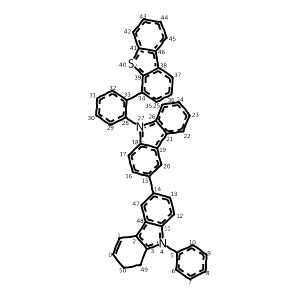 C1=Cc2c(n(-c3ccccc3)c3ccc(-c4ccc5c(c4)c4ccccc4n5-c4ccccc4-c4cccc5c4sc4ccccc45)cc23)CC1